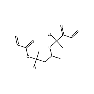 C=CC(=O)OC(C)(CC)CC(C)OC(C)(CC)C(=O)C=C